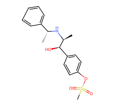 C[C@H](N[C@H](C)c1ccccc1)[C@H](O)c1ccc(OS(C)(=O)=O)cc1